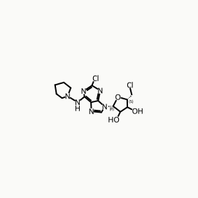 OC1C(O)[C@@H](CCl)O[C@H]1n1cnc2c(NN3CCCCC3)nc(Cl)nc21